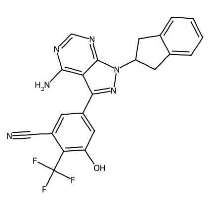 N#Cc1cc(-c2nn(C3Cc4ccccc4C3)c3ncnc(N)c23)cc(O)c1C(F)(F)F